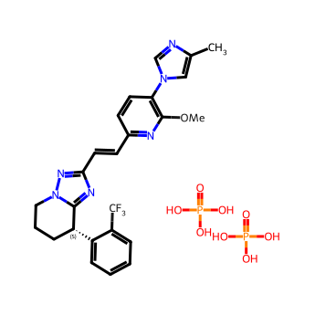 COc1nc(C=Cc2nc3n(n2)CCC[C@H]3c2ccccc2C(F)(F)F)ccc1-n1cnc(C)c1.O=P(O)(O)O.O=P(O)(O)O